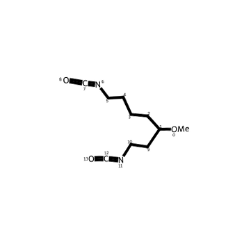 COC(CCCCN=C=O)CCN=C=O